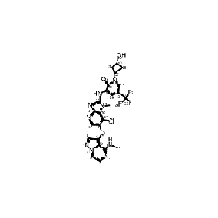 CNc1nccn2ncc(Oc3cnc4nc(Nc5cc(C(F)(F)F)cn([C@H]6C[C@@H](O)C6)c5=O)n(C)c4c3Cl)c12